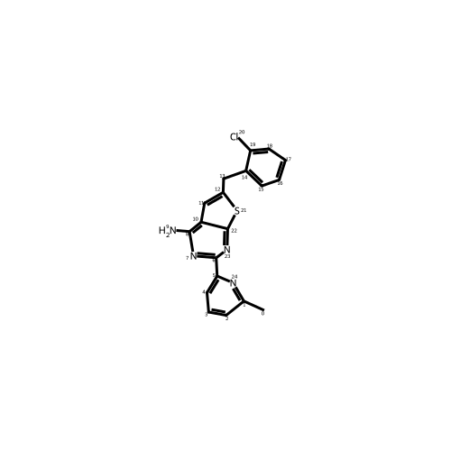 Cc1cccc(-c2nc(N)c3cc(Cc4ccccc4Cl)sc3n2)n1